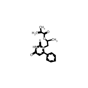 C=C(C)C(=O)OC(C)Cn1c(-c2ccccc2)cc(=O)[nH]c1=S